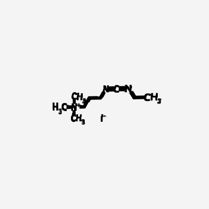 CCN=C=NCCC[N+](C)(C)C.[I-]